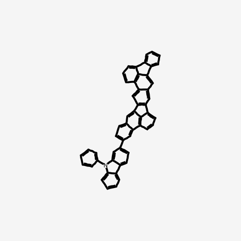 c1ccc(-n2c3ccccc3c3ccc(-c4ccc5cc6c7cc8c(cc7c7cccc(c5c4)c76)cc4c5ccccc5c5cccc8c54)cc32)cc1